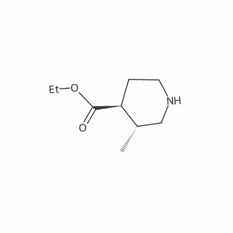 CCOC(=O)[C@H]1CCNC[C@@H]1C